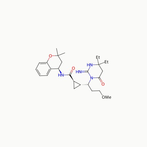 CCC1(CC)CC(=O)N(C(CCOC)[C@@H]2C[C@H]2C(=O)N[C@@H]2CC(C)(C)Oc3ccccc32)C(=N)N1